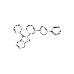 C1=CC2c3ccc(-c4ccc(-c5ccccc5)cc4)cc3-c3nc4ccccc4n3C2C=C1